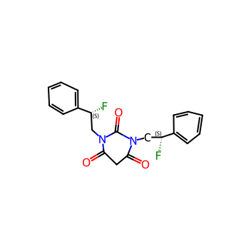 O=C1CC(=O)N(C[C@@H](F)c2ccccc2)C(=O)N1C[C@@H](F)c1ccccc1